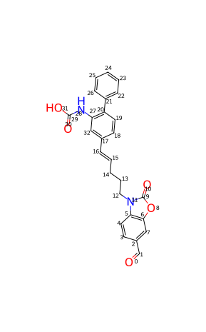 O=Cc1ccc2c(c1)oc(=O)n2CCC/C=C/c1ccc(-c2ccccc2)c(NC(=O)O)c1